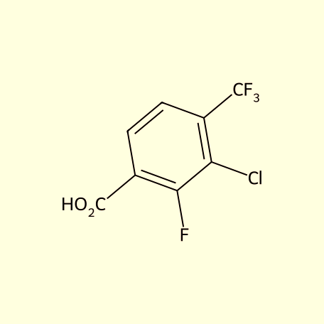 O=C(O)c1ccc(C(F)(F)F)c(Cl)c1F